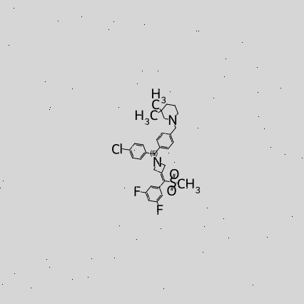 CC1(C)CCCN(Cc2ccc([C@@H](c3ccc(Cl)cc3)N3CC(=C(c4cc(F)cc(F)c4)S(C)(=O)=O)C3)cc2)C1